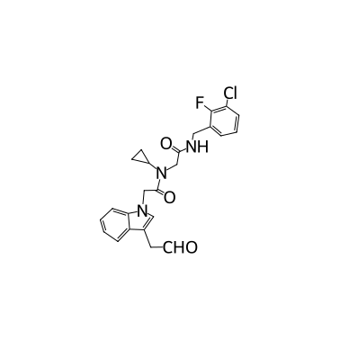 O=CCc1cn(CC(=O)N(CC(=O)NCc2cccc(Cl)c2F)C2CC2)c2ccccc12